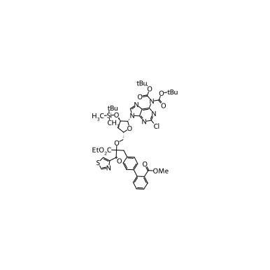 CCOC(=O)C(Cc1ccc(-c2ccccc2C(=O)OC)cc1)(OC[C@@H]1C[C@@H](O[Si](C)(C)C(C)(C)C)[C@H](n2cnc3c(N(C(=O)OC(C)(C)C)C(=O)OC(C)(C)C)nc(Cl)nc32)O1)C(=O)c1cscn1